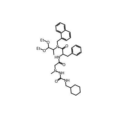 CCOC(OCC)C(C)N(Cc1cccc2ccccc12)C(=O)C(Cc1ccccc1)NC(=O)CN(C)NC(=O)NCC1CCCCC1